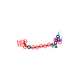 CNC(=O)c1c(-c2ccc(F)cc2)oc2cc(N(CCOCCOCCOCCOCCOCc3ccc(C(=O)/C=C(\O)C(=O)O)cc3)SC)c(C3CC3)cc12